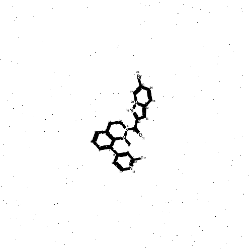 CN1c2c(cccc2-c2ccnc(F)c2)CCN1C(=O)c1cc2ccc(Br)cn2n1